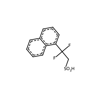 O=S(=O)(O)CC(F)(F)c1cccc2ccccc12